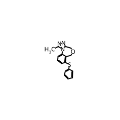 Cc1nnc2n1-c1cccc(Sc3ccccc3)c1COC2